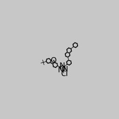 CC(C)(C)c1ccc2oc3cc(-c4nc(Cl)nc(-c5cccc(-c6ccc7ccc(-c8ccccc8)cc7c6)c5)n4)ccc3c2c1